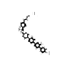 CCCCCc1ccc(C(F)(F)OC2CCC(c3ccc(-c4ccc(-c5ccc(Cl)c(F)c5)c(F)c4)c(F)c3)CC2)cc1